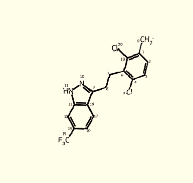 [CH2]c1ccc(Cl)c([CH]Cc2n[nH]c3cc(C(F)(F)F)ccc23)c1Cl